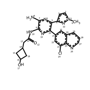 Cn1ccc(-c2nc(N)c(NC(=O)CC3CC(O)C3)nc2-c2cc(Cl)c3ncccc3c2)n1